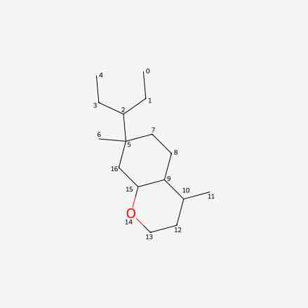 CCC(CC)C1(C)CCC2C(C)CCOC2C1